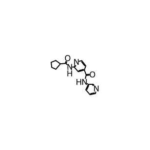 O=C(Nc1cccnc1)c1ccnc(NC(=O)C2CCCC2)c1